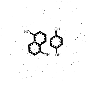 Oc1ccc(O)cc1.Oc1cccc2c(O)cccc12